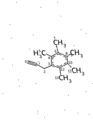 [C]#CCc1c(C)c(C)c(C)c(C)c1C